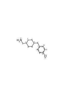 NCC1CCC([CH]c2ccc(Cl)cc2)CC1